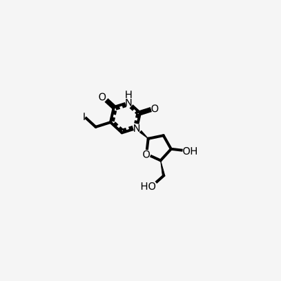 O=c1[nH]c(=O)n([C@H]2CC(O)[C@@H](CO)O2)cc1CI